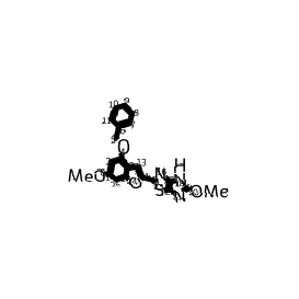 COc1cc(OCc2ccccc2)c2cc(-c3nc4[nH]c(OC)nc4s3)oc2c1